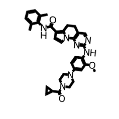 COc1cc(N2CCN(C(=O)C3CC3)CC2)ccc1Nc1ncc2c(n1)-n1ccc(C(=O)Nc3c(C)cccc3C)c1CC2